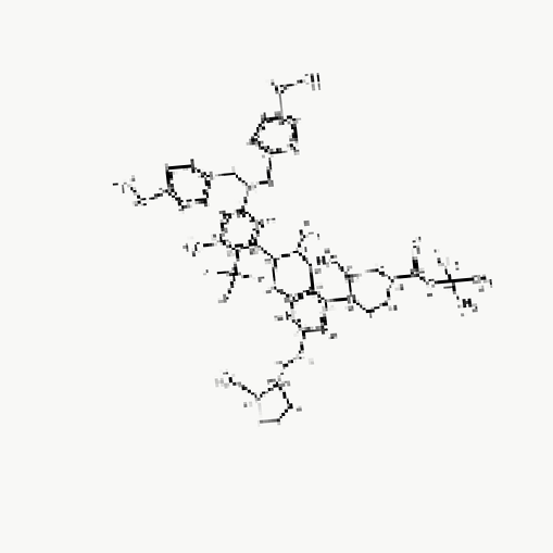 COc1ccc(CN(Cc2ccc(OC)cc2)c2cc(C)c(C(F)(F)F)c(C3Cc4nc(OC[C@@H]5CCCN5C)nc(N5CCN(C(=O)OC(C)(C)C)C[C@@H]5C)c4CC3C)n2)cc1